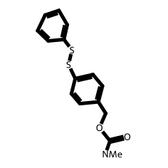 CNC(=O)OCc1ccc(SSc2ccccc2)cc1